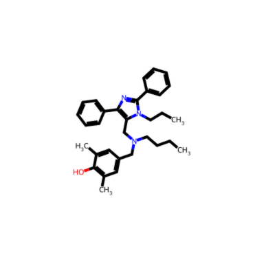 CCCCN(Cc1cc(C)c(O)c(C)c1)Cc1c(-c2ccccc2)nc(-c2ccccc2)n1CCC